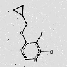 Fc1c(Cl)ncnc1OCC1CC1